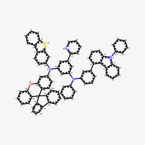 c1ccc(N(c2cccc(-c3cccc4c3c3ccccc3n4-c3ccccc3)c2)c2cc(-c3ccccn3)cc(N(c3ccc4c(c3)Oc3ccccc3C43c4ccccc4-c4ccccc43)c3ccc4c(c3)sc3ccccc34)c2)cc1